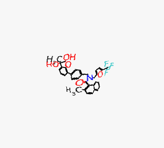 Cc1ccc2ccccc2c1C(=O)N(Cc1ccc(-c2cccc([C@@](C)(O)C(=O)O)c2)cc1)Cc1ccc(C(F)(F)F)o1